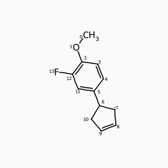 COc1ccc(C2[CH]C=CC2)cc1F